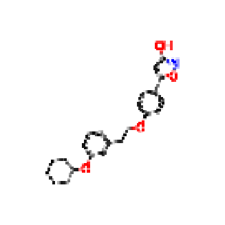 Oc1cc(-c2ccc(OCCc3cccc(OC4CCCCC4)c3)cc2)on1